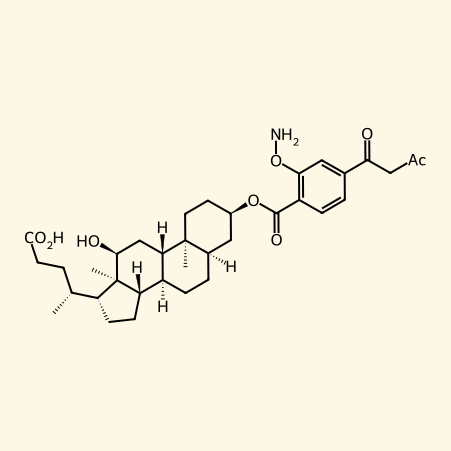 CC(=O)CC(=O)c1ccc(C(=O)O[C@@H]2CC[C@@]3(C)[C@H](CC[C@@H]4[C@@H]3C[C@H](O)[C@]3(C)[C@@H]([C@H](C)CCC(=O)O)CC[C@@H]43)C2)c(ON)c1